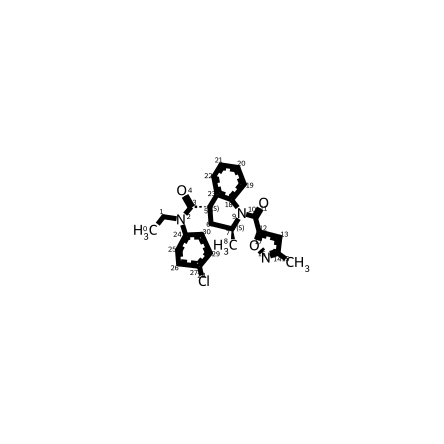 CCN(C(=O)[C@H]1C[C@H](C)N(C(=O)c2cc(C)no2)c2ccccc21)c1ccc(Cl)cc1